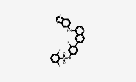 O=S(=O)(Nc1ccc(-c2ccc3nccc(Nc4ccc5scnc5c4)c3c2)c(F)c1)c1c(F)cccc1F